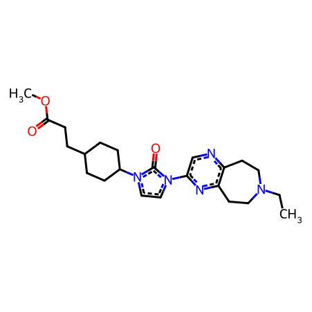 CCN1CCc2ncc(-n3ccn(C4CCC(CCC(=O)OC)CC4)c3=O)nc2CC1